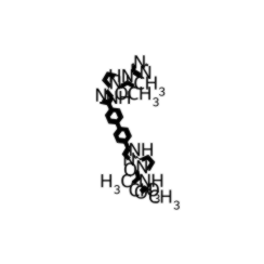 COC(=O)N[C@H](C(=O)N1CCC[C@H]1c1ncc(-c2ccc(-c3ccc(-c4cnc([C@@H]5CCCN5C(=O)[C@@H](Nc5cncnc5)C(C)C)[nH]4)cc3)cc2)[nH]1)C(C)C